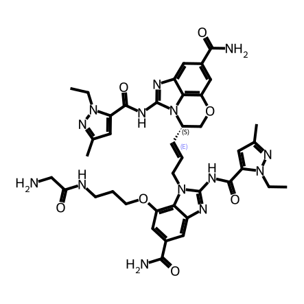 CCn1nc(C)cc1C(=O)Nc1nc2cc(C(N)=O)cc(OCCCNC(=O)CN)c2n1C/C=C/[C@H]1COc2cc(C(N)=O)cc3nc(NC(=O)c4cc(C)nn4CC)n1c23